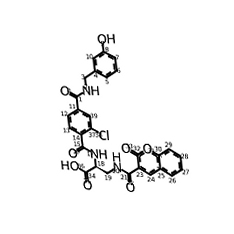 O=C(NCc1cccc(O)c1)c1ccc(C(=O)N[C@@H](CNC(=O)c2cc3ccccc3oc2=O)C(=O)O)c(Cl)c1